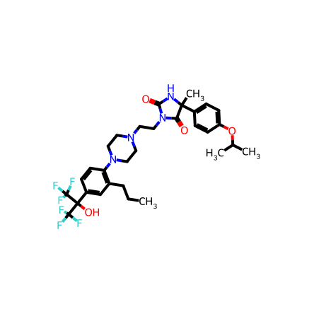 CCCc1cc(C(O)(C(F)(F)F)C(F)(F)F)ccc1N1CCN(CCN2C(=O)NC(C)(c3ccc(OC(C)C)cc3)C2=O)CC1